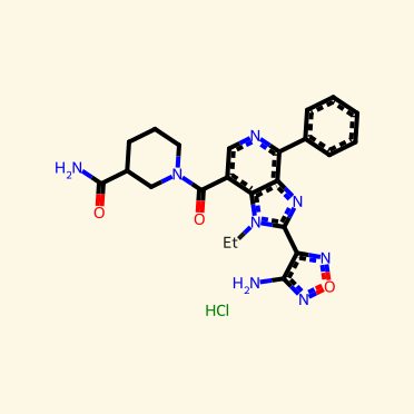 CCn1c(-c2nonc2N)nc2c(-c3ccccc3)ncc(C(=O)N3CCCC(C(N)=O)C3)c21.Cl